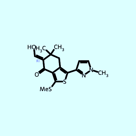 CSc1sc(-c2ccn(C)n2)c2c1C(=O)/C(=C/O)C(C)(C)C2